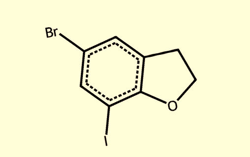 Brc1cc(I)c2c(c1)CCO2